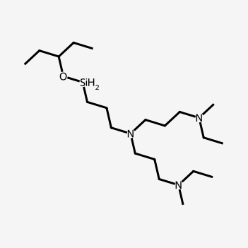 CCC(CC)O[SiH2]CCCN(CCCN(C)CC)CCCN(C)CC